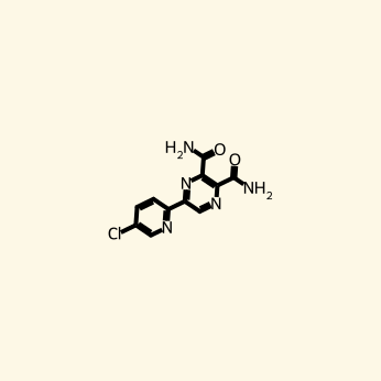 NC(=O)c1ncc(-c2ccc(Cl)cn2)nc1C(N)=O